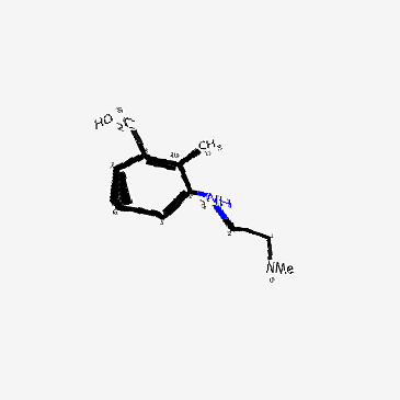 CNCCNc1cccc(C(=O)O)c1C